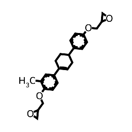 Cc1cc(C2=CCC(c3ccc(OCC4CO4)cc3)CC2)ccc1OCC1CO1